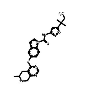 CC1Cc2c(ncnc2Oc2ccc3c(ccn3C(=O)Nc3cc(C(C)(C)CC(F)(F)F)on3)c2)CN1